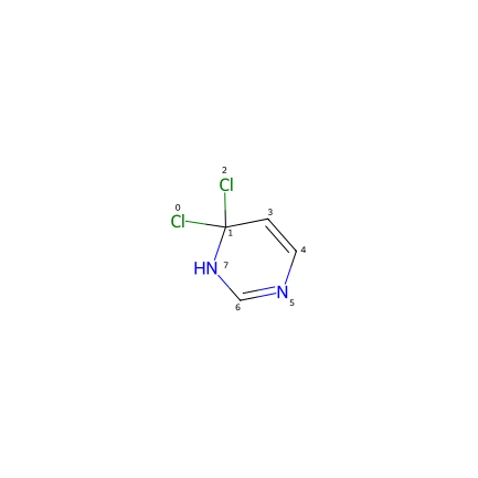 ClC1(Cl)C=CN=CN1